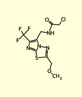 COCc1nn2c(CNC(=O)CCl)c(C(F)(F)F)nc2s1